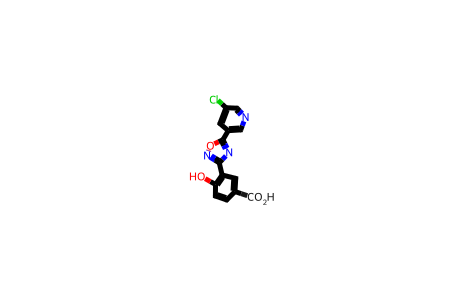 O=C(O)c1ccc(O)c(-c2noc(-c3cncc(Cl)c3)n2)c1